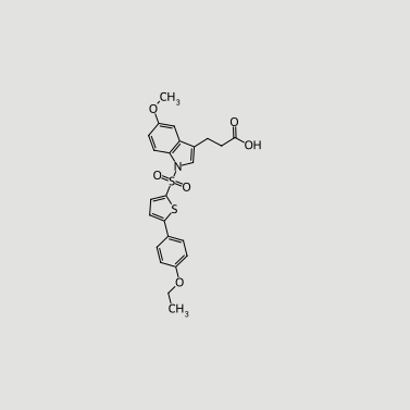 CCOc1ccc(-c2ccc(S(=O)(=O)n3cc(CCC(=O)O)c4cc(OC)ccc43)s2)cc1